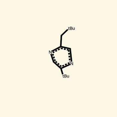 CC(C)(C)Cc1cnc(C(C)(C)C)cn1